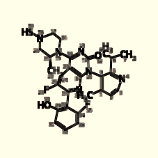 Cc1ccnc(C(C)C)c1-n1c(=O)nc(N2CCN(S)C[C@@H]2C)c2cc(F)c(-c3c(O)cccc3F)nc21